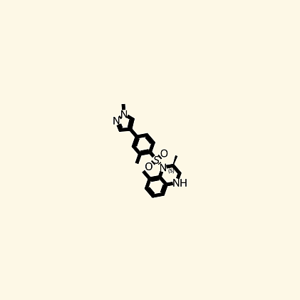 Cc1cc(-c2cnn(C)c2)ccc1S(=O)(=O)N1c2c(C)cccc2NC[C@@H]1C